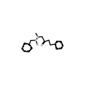 CN(CC(=O)CCc1ccccc1)[S+]([O-])Cc1ccccc1